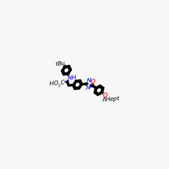 CCCCCCCOc1ccc(-c2nc(-c3ccc(C[C@H](Nc4ccc(C(C)(C)C)cc4)C(=O)O)cc3)no2)cc1